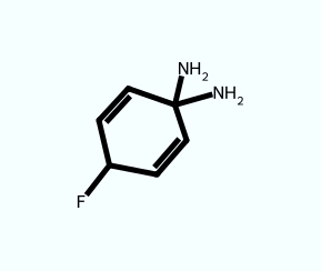 NC1(N)C=CC(F)C=C1